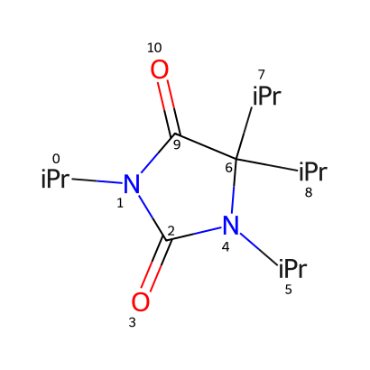 CC(C)N1C(=O)N(C(C)C)C(C(C)C)(C(C)C)C1=O